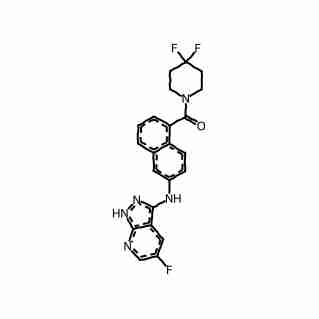 O=C(c1cccc2cc(Nc3n[nH]c4ncc(F)cc34)ccc12)N1CCC(F)(F)CC1